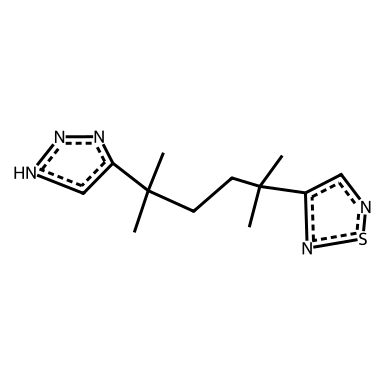 CC(C)(CCC(C)(C)c1cnsn1)c1c[nH]nn1